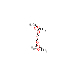 C=CC(=O)OC(C)COCCOCCOCC(C)OC(=O)C=C